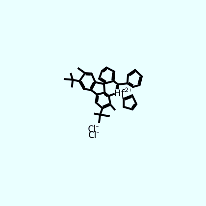 Cc1cc2c(cc1C(C)(C)C)-c1cc(C(C)(C)C)c(C)[c]([Hf+2]([C]3=CC=CC3)=[C](c3ccccc3)c3ccccc3)c1C2.[Cl-].[Cl-]